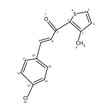 Cc1ccsc1C(=O)/C=C/c1ccc(Cl)cc1